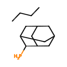 CCCC.PC1C2CC3CC(C2)CC1C3